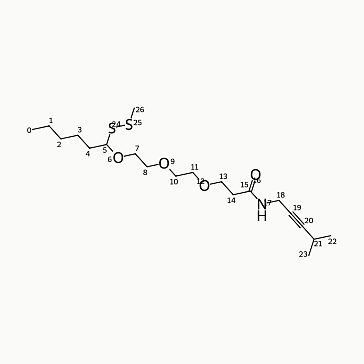 CCCCCC(OCCOCCOCCC(=O)NCC#CC(C)C)SSC